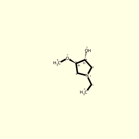 CCN1C[C@@H](O)[C@H](OC)C1